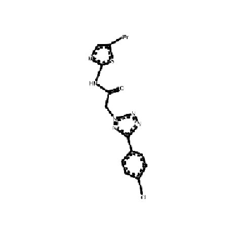 CC(C)c1cnc(NC(=O)Cn2nnc(-c3ccc(Cl)cc3)n2)s1